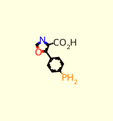 O=C(O)c1ncoc1-c1ccc(P)cc1